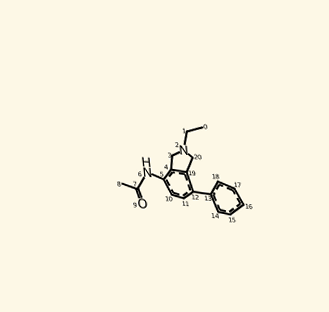 CCN1Cc2c(NC(C)=O)ccc(-c3ccccc3)c2C1